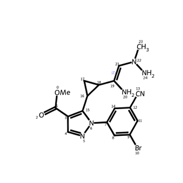 COC(=O)c1cnn(-c2cc(Br)cc(C#N)c2)c1C1CC1/C(N)=C/N(C)N